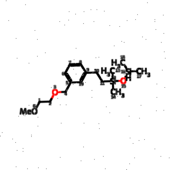 COCCOCc1cccc(CC[Si](C)(C)O[SiH](C)C)c1